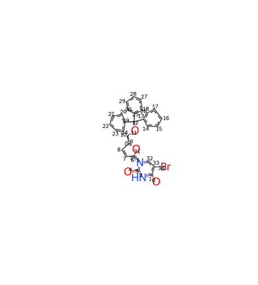 O=c1[nH]c(=O)n([C@H]2C=C[C@@H](COC(c3ccccc3)(c3ccccc3)c3ccccc3)O2)cc1Br